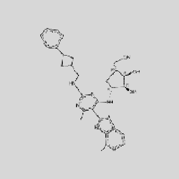 Cc1nc(NCC2CC(c3ccccc3)C2)nc(N[C@@H]2C[C@H](CO)[C@@H](O)[C@H]2O)c1-c1nc2c(C)nccc2s1